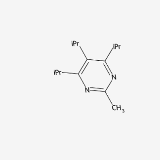 Cc1nc(C(C)C)c(C(C)C)c(C(C)C)n1